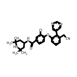 CC1(C)CC(NC(=O)c2ccc(Oc3cccc(CC#N)c3-c3cncnc3)c(Cl)c2)CC(C)(C)N1